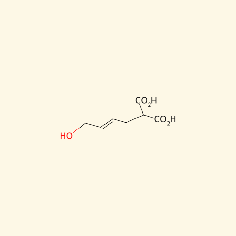 O=C(O)C(CC=CCO)C(=O)O